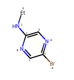 CCNc1cnc(Br)cn1